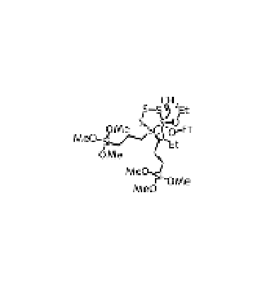 C=CS1(OCC)(OCC)(OCC)SSS[Si]1(CCC[Si](OC)(OC)OC)CCC[Si](OC)(OC)OC